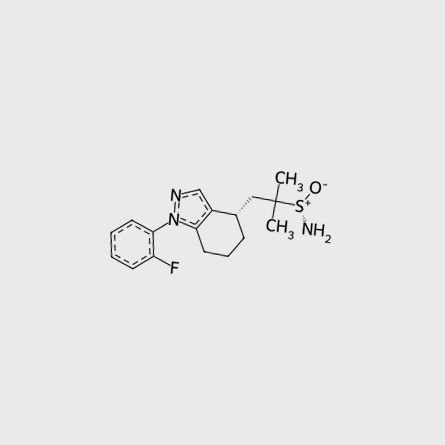 CC(C)(C[C@@H]1CCCc2c1cnn2-c1ccccc1F)[S@@+](N)[O-]